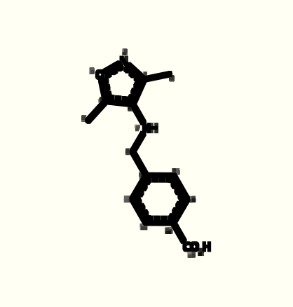 Cc1noc(C)c1NCc1ccc(C(=O)O)cc1